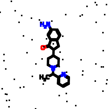 CC(c1ccccn1)N1CCC(C2Cc3ccc(N)cc3C2=O)CC1